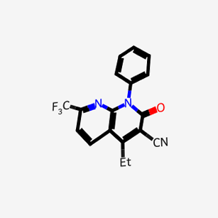 CCc1c(C#N)c(=O)n(-c2ccccc2)c2nc(C(F)(F)F)ccc12